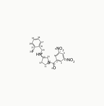 O=C(c1cc([N+](=O)[O-])cc([N+](=O)[O-])c1)N1CC[C@@H](NCc2ccccc2F)C1